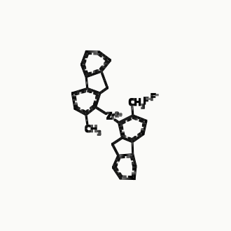 Cc1ccc2c([c]1[Zr+2][c]1c(C)ccc3c1Cc1ccccc1-3)Cc1ccccc1-2.[F-].[F-]